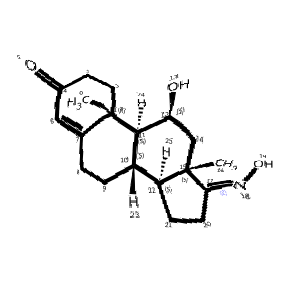 C[C@]12CCC(=O)C=C1CC[C@@H]1[C@@H]2[C@@H](O)C[C@]2(C)/C(=N\O)CC[C@@H]12